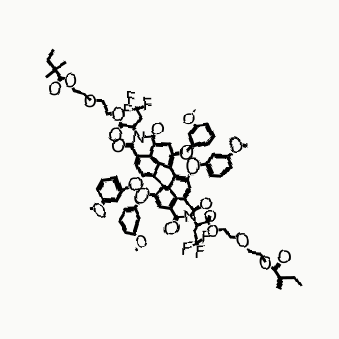 C=C(CC)C(=O)OCCOCCOC(=O)C(CC(F)(F)F)N1C(=O)c2cc(Oc3cccc(OC)c3)c3c4c(Oc5cccc(OC)c5)cc5c6c(cc(Oc7cccc(OC)c7)c(c7c(Oc8cccc(OC)c8)cc(c2c37)C1=O)c64)C(=O)N(C(CC(F)(F)F)C(=O)OCCOCCOC(=O)C(C)(C)CC)C5=O